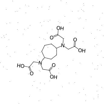 O=C(O)CN(CC(=O)O)C1CCCC(N(CC(=O)O)CC(=O)O)CC1